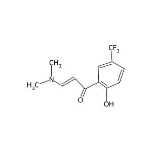 CN(C)C=CC(=O)c1cc(C(F)(F)F)ccc1O